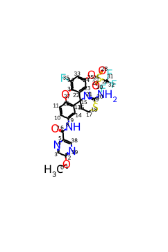 COc1cnc(C(=O)Nc2ccc3c(c2)C2(CCSC(N)=N2)c2cc(OS(=O)(=O)C(F)(F)F)cc(F)c2O3)cn1